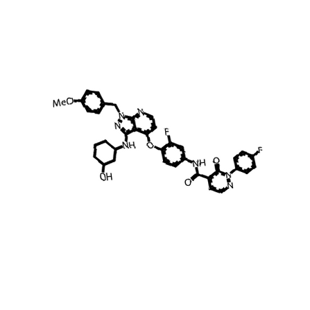 COc1ccc(Cn2nc(NC3CCCC(O)C3)c3c(Oc4ccc(NC(=O)c5ccnn(-c6ccc(F)cc6)c5=O)cc4F)ccnc32)cc1